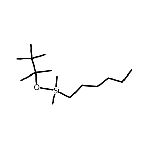 CCCCCC[Si](C)(C)OC(C)(C)C(C)(C)C